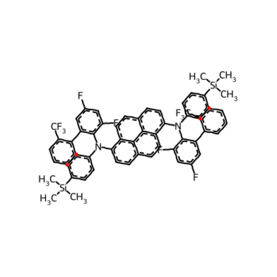 C[Si](C)(C)c1ccc(N(c2c(F)cc(F)cc2-c2ccccc2C(F)(F)F)c2ccc3ccc4c(N(c5ccc([Si](C)(C)C)cc5)c5c(F)cc(F)cc5-c5ccccc5C(F)(F)F)ccc5ccc2c3c54)cc1